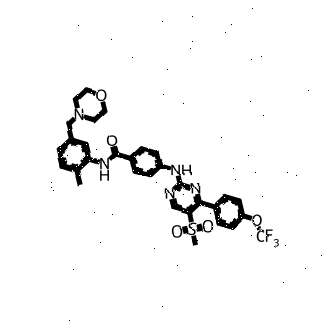 Cc1ccc(CN2CCOCC2)cc1NC(=O)c1ccc(Nc2ncc(S(C)(=O)=O)c(-c3ccc(OC(F)(F)F)cc3)n2)cc1